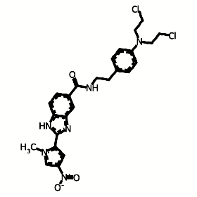 Cn1cc([N+](=O)[O-])cc1-c1nc2cc(C(=O)NCCc3ccc(N(CCCl)CCCl)cc3)ccc2[nH]1